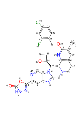 O=c1[nH]nc(-c2cc3nc(CN4CCc5cc(C(F)(F)F)c(OCc6ccc(Cl)cc6F)nc5C4)n(C[C@@H]4CCO4)c3cn2)o1